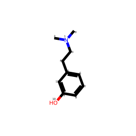 CN(C)CCc1cccc(O)c1